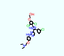 CCN(CC)CCOc1ccc(Nc2nccc(-c3[nH]c(-c4c(Cl)cc(OCCO)cc4Cl)nc3-c3cccc(Cl)c3)n2)cc1